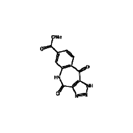 COC(=O)c1ccc2c(=O)c3[nH]nnc3c(=O)[nH]c2c1